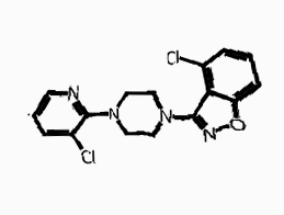 Clc1c[c]cnc1N1CCN(c2noc3cccc(Cl)c23)CC1